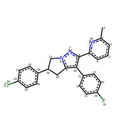 Cc1cccc(-c2nn3c(c2-c2ccc(F)cc2)CC(c2ccc(Cl)cc2)C3)n1